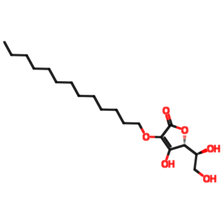 CCCCCCCCCCCCCOC1=C(O)[C@@H]([C@@H](O)CO)OC1=O